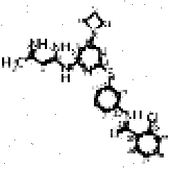 CC(=N)/C=C(\N)Nc1cc(N2CCC2)nc(Sc2cccc(NC(=O)c3ccccc3Cl)c2)n1